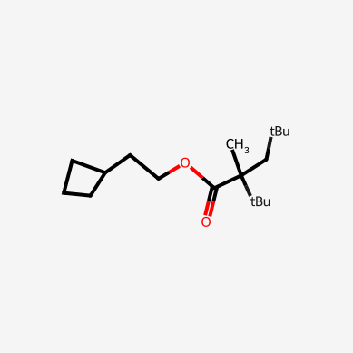 CC(C)(C)CC(C)(C(=O)OCCC1CCC1)C(C)(C)C